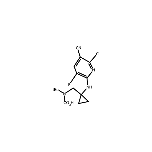 CC(C)(C)N(CC1(Nc2nc(Cl)c(C#N)cc2F)CC1)C(=O)O